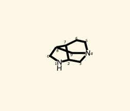 C1NC2CN3CCC2C1C3